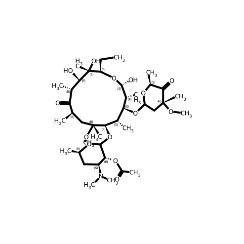 CC[C@H]1O[C@H](O)[C@H](C)[C@@H](OC2C[C@@](C)(OC)C(=O)[C@H](C)O2)[C@H](C)[C@@H](OC2O[C@H](C)C[C@H](N(C)C)[C@H]2OC(C)=O)[C@](C)(OC)C[C@@H](C)C(=O)[C@H](C)[C@@H](O)[C@]1(C)O